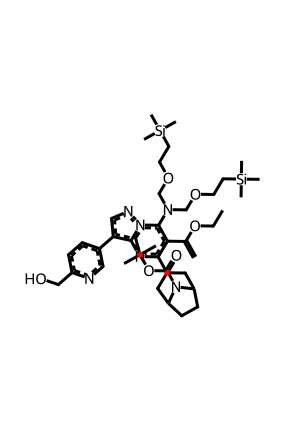 C=C(OCC)c1c(C2CC3CCC(C2)N3C(=O)OC(C)(C)C)nc2c(-c3ccc(CO)nc3)cnn2c1N(COCC[Si](C)(C)C)COCC[Si](C)(C)C